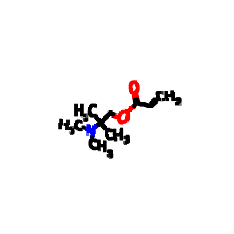 C=CC(=O)OCC(C)(C)N(C)C